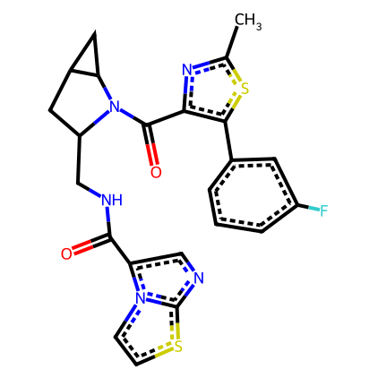 Cc1nc(C(=O)N2C(CNC(=O)c3cnc4sccn34)CC3CC32)c(-c2cccc(F)c2)s1